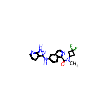 CN(C(=O)c1nccc2cc(Nc3n[nH]c4ncccc34)ccc12)C1CC(F)(F)C1